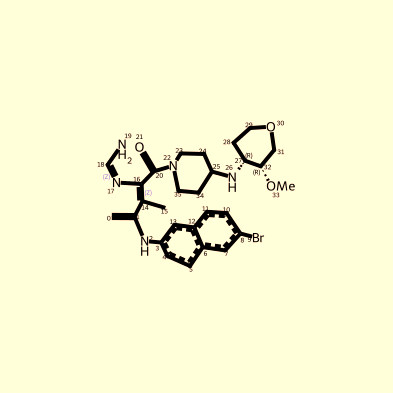 C=C(Nc1ccc2cc(Br)ccc2c1)/C(C)=C(\N=C/N)C(=O)N1CCC(N[C@@H]2CCOC[C@@H]2OC)CC1